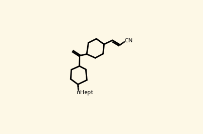 C=C(C1CCC(C=CC#N)CC1)C1CCC(CCCCCCC)CC1